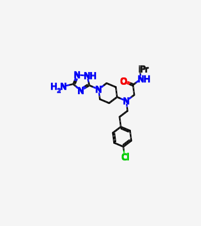 CC(C)NC(=O)CN(CCc1ccc(Cl)cc1)C1CCN(c2nc(N)n[nH]2)CC1